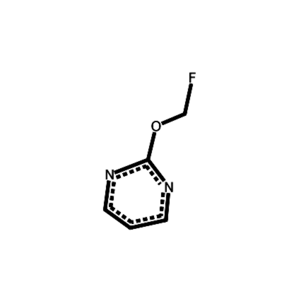 FCOc1ncccn1